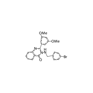 COc1cc(OC)cc(-c2nc3ccccc3c(=O)n2NCc2ccc(Br)cc2)c1